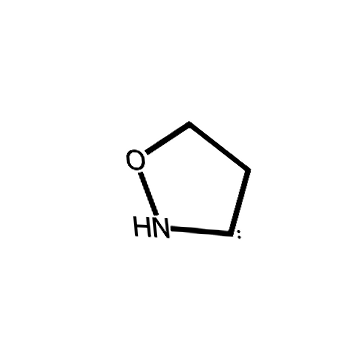 [C]1CCON1